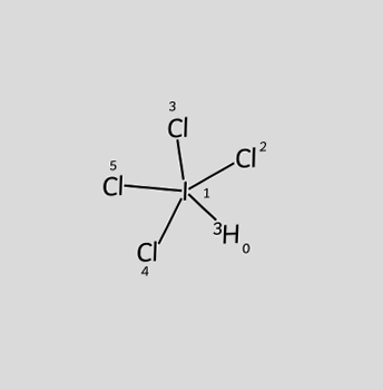 [3H]I(Cl)(Cl)(Cl)Cl